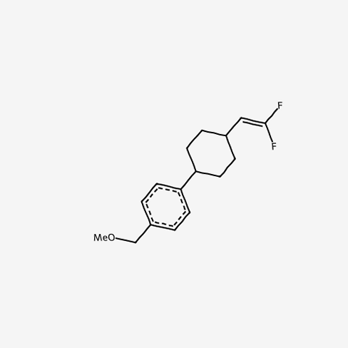 COCc1ccc(C2CCC(C=C(F)F)CC2)cc1